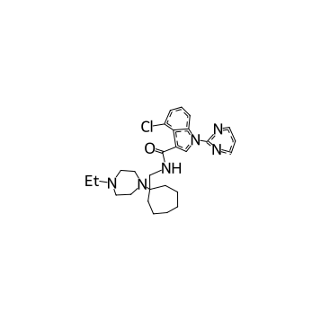 CCN1CCN(C2(CNC(=O)c3cn(-c4ncccn4)c4cccc(Cl)c34)CCCCCC2)CC1